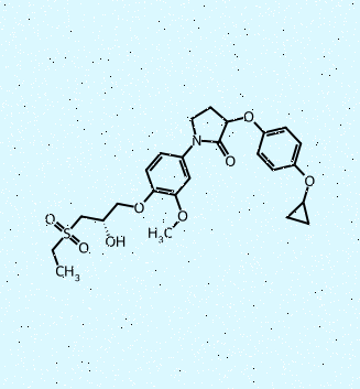 CCS(=O)(=O)C[C@@H](O)COc1ccc(N2CCC(Oc3ccc(OC4CC4)cc3)C2=O)cc1OC